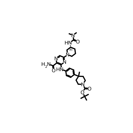 CN(C)C(=O)N[C@@H]1CCCN(c2cnc(C(N)=O)c(Nc3ccc(C4(C)CCN(C(=O)OC(C)(C)C)CC4)cc3)n2)C1